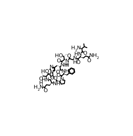 CC(C)[C@H](N)C(=O)N[C@@H](CCC(N)=O)C(=O)NCC(=O)N[C@H](C(=O)N[C@@H](Cc1c[nH]cn1)C(=O)N[C@@H](Cc1ccccc1)C(=O)N1CCC[C@H]1C(=O)N[C@@H](CCC(N)=O)C(=O)N[C@H](C(=O)O)[C@@H](C)O)[C@@H](C)O